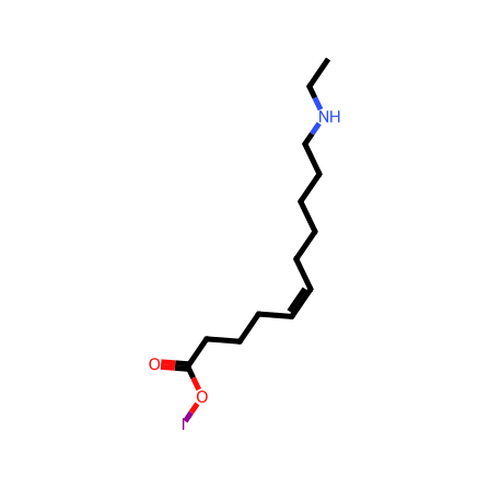 CCNCCCCC/C=C\CCCC(=O)OI